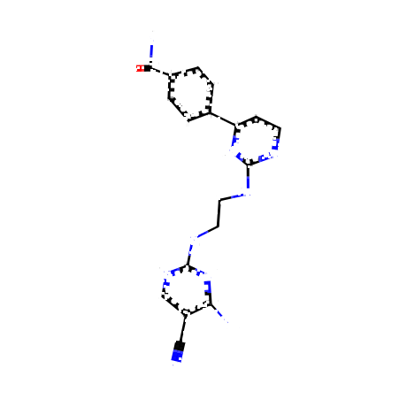 N#Cc1cnc(NCCNc2nccc(-c3ccc(C(N)=O)cc3)n2)nc1N